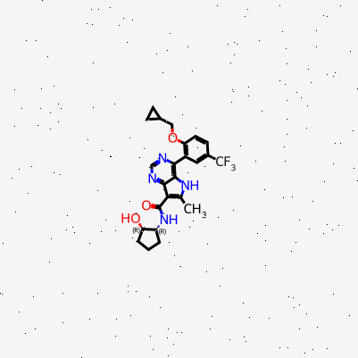 Cc1[nH]c2c(-c3cc(C(F)(F)F)ccc3OCC3CC3)ncnc2c1C(=O)N[C@@H]1CCC[C@H]1O